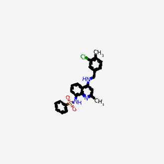 Cc1cc(NCc2ccc(C)c(Cl)c2)c2cccc(NS(=O)(=O)c3ccccc3)c2n1